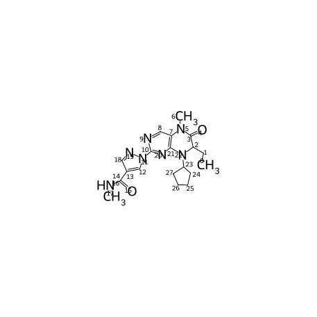 CCC1C(=O)N(C)c2cnc(-n3cc(C(=O)NC)cn3)nc2N1C1CCCC1